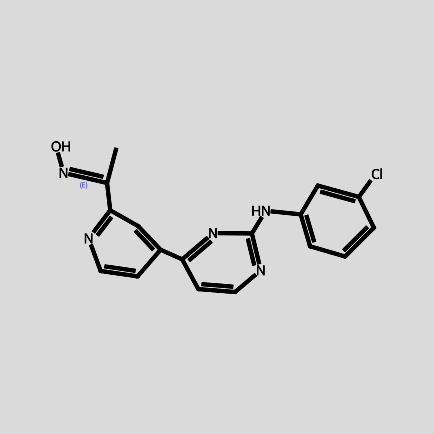 C/C(=N\O)c1cc(-c2ccnc(Nc3cccc(Cl)c3)n2)ccn1